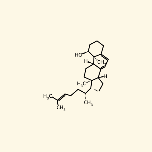 CC(C)=CCC[C@@H](C)[C@H]1CC[C@H]2C3=CC=C4CCC[C@H](O)[C@]4(C)[C@H]3CC[C@]12C